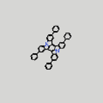 c1ccc(-c2ccc3c(c2)c2c4c5cc(-c6ccccc6)ccc5n5c6ccc(-c7ccccc7)cc6c(c6c7cc(-c8ccccc8)ccc7n3c26)c45)cc1